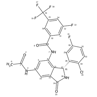 CC(=O)Nc1cc(NC(=O)c2cc(F)cc(C(F)(F)F)c2)c2c(c1)C(=O)N[C@H]2c1cc(F)ccc1Cl